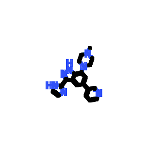 CN1CCN(c2cc(-c3cccnc3)cc3c(-c4ncc[nH]4)n[nH]c23)CC1